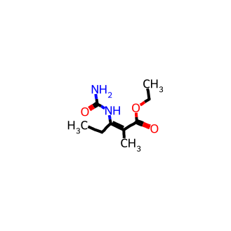 CCOC(=O)C(C)=C(CC)NC(N)=O